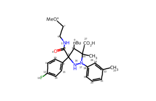 CCCCC1C(C(=O)NCCOC)(c2ccc(F)cc2)NN(c2cccc(C)c2)C1(C)C(=O)O